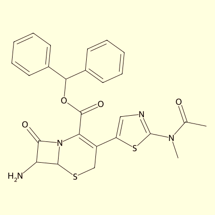 CC(=O)N(C)c1ncc(C2=C(C(=O)OC(c3ccccc3)c3ccccc3)N3C(=O)C(N)C3SC2)s1